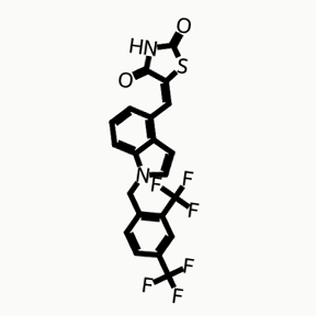 O=C1NC(=O)C(=Cc2cccc3c2ccn3Cc2ccc(C(F)(F)F)cc2C(F)(F)F)S1